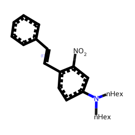 CCCCCCN(CCCCCC)c1ccc(/C=C/c2ccccc2)c([N+](=O)[O-])c1